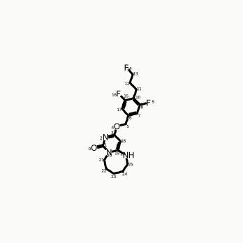 O=c1nc(OCc2cc(F)c(CCCF)c(F)c2)cc2n1CCCCCN2